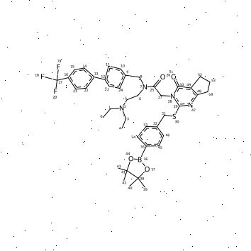 CCN(CC)CCN(Cc1ccc(-c2ccc(C(F)(F)F)cc2)cc1)C(=O)Cn1c(SCc2ccc(B3OC(C)(C)C(C)(C)O3)cc2)nc2c(c1=O)CCC2